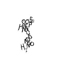 COc1ccc(C(F)(F)F)cc1Nc1ncc2cc(Oc3ccnc(C(N)=O)c3)ccc2n1